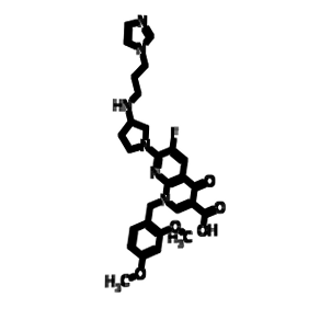 COc1ccc(Cn2cc(C(=O)O)c(=O)c3cc(F)c(N4CCC(NCCCn5ccnc5)C4)nc32)c(OC)c1